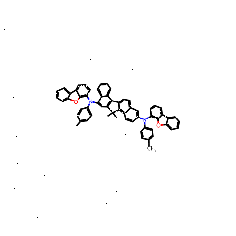 Cc1ccc(N(c2cc3c(c4ccccc24)-c2ccc4cc(N(c5ccc(C(F)(F)F)cc5)c5cccc6c5oc5ccccc56)ccc4c2C3(C)C)c2cccc3c2oc2ccccc23)cc1